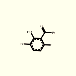 CC(C)C(=O)c1c(F)ccc(Br)c1O